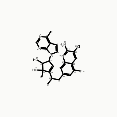 Cc1ncnc2c1ccn2C1C=C(C(C)Cc2cc(F)c3cc(Cl)c(N)nc3c2)C(C)(O)C1O